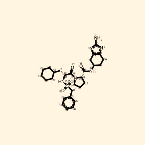 Nc1nc2c(s1)CC(NC(=O)[C@@H]1CCCN1C(=O)[C@@H](CC1CCCCC1)NS(=O)(=O)Cc1ccccc1)CC2